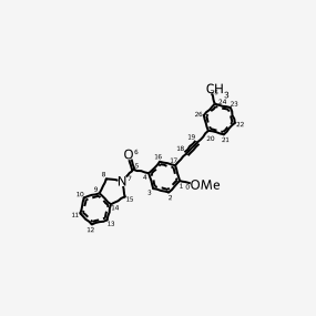 COc1ccc(C(=O)N2Cc3ccccc3C2)cc1C#Cc1cccc(C)c1